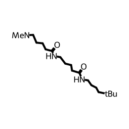 CNCCCCC(=O)NCCCCC(=O)NCCCCC(C)(C)C